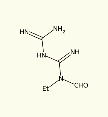 CCN(C=O)C(=N)NC(=N)N